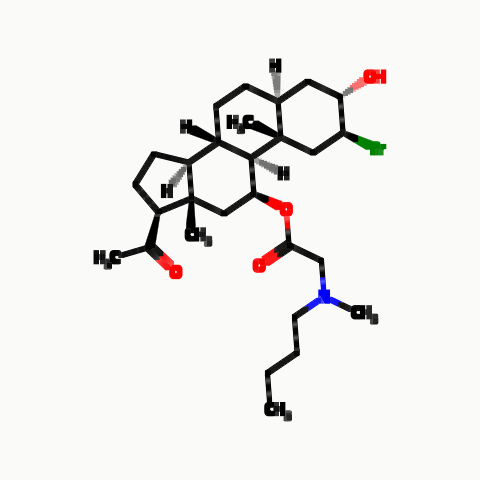 CCCCN(C)CC(=O)O[C@H]1C[C@]2(C)[C@@H](C(C)=O)CC[C@H]2[C@@H]2CC[C@H]3C[C@H](O)[C@@H](Br)C[C@]3(C)[C@H]21